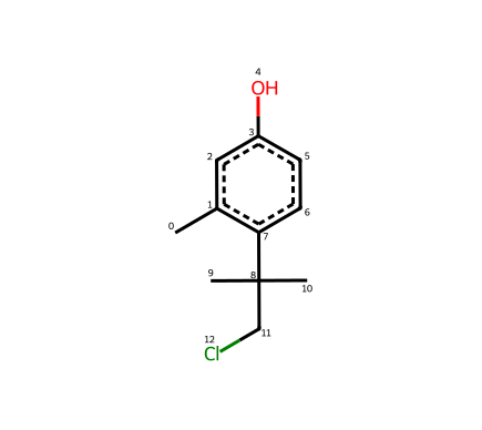 Cc1cc(O)ccc1C(C)(C)CCl